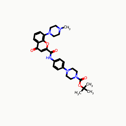 CN1CCN(c2cccc3c(=O)cc(C(=O)Nc4ccc(N5CCN(C(=O)OC(C)(C)C)CC5)cc4)oc23)CC1